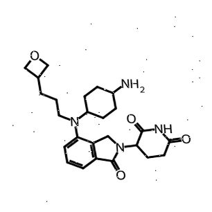 NC1CCC(N(CCCC2COC2)c2cccc3c2CN(C2CCC(=O)NC2=O)C3=O)CC1